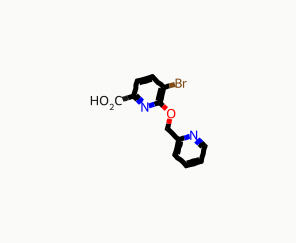 O=C(O)c1ccc(Br)c(OCc2ccccn2)n1